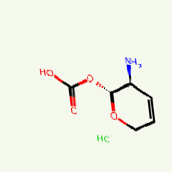 Cl.N[C@H]1C=CCO[C@@H]1OC(=O)O